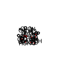 CC(=O)O[C@@]12CO[C@@H]1C[C@H](O)[C@@]1(C)C(=O)[C@H](O)C3=C(C)[C@@H](OC(=O)C(O)[C@@H](NC(=O)OC(C)(C)C)c4ccccc4)C[C@@](O)([C@@H](OC(=O)c4ccccc4)[C@H]21)C3(C)C.CC[C@]1(O)C[C@@H]2C[N@@](CCc3c([nH]c4ccccc34)[C@@](C(=O)OC)(c3cc4c(cc3OC)N(C)[C@H]3[C@@](O)(C(=O)OC)[C@H](OC(C)=O)[C@]5(CC)C=CCN6CC[C@]43[C@@H]65)C2)C1